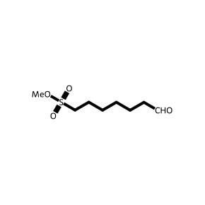 COS(=O)(=O)CCCCCCC=O